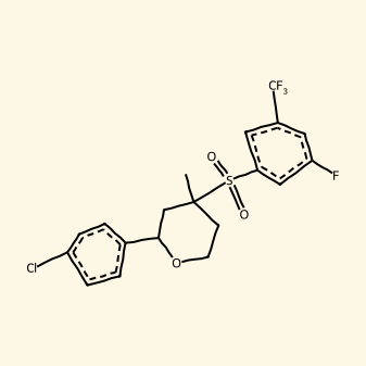 CC1(S(=O)(=O)c2cc(F)cc(C(F)(F)F)c2)CCOC(c2ccc(Cl)cc2)C1